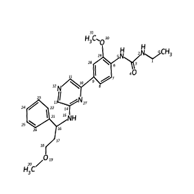 CCNC(=O)Nc1ccc(-c2cncc(NC(CCOC)c3ccccc3)n2)cc1OC